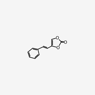 O=c1occ(C=Cc2ccccc2)o1